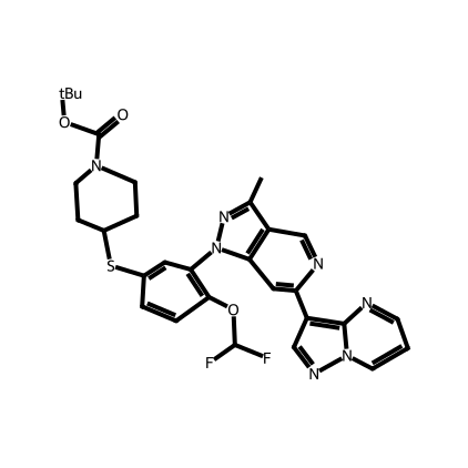 Cc1nn(-c2cc(SC3CCN(C(=O)OC(C)(C)C)CC3)ccc2OC(F)F)c2cc(-c3cnn4cccnc34)ncc12